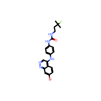 CC(C)(F)CCNC(=O)Nc1ccc(Nc2cnnc3cc(Br)ccc23)cc1